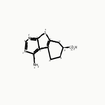 Nc1ncnc2sc3c(c12)CC[C@H](C(=O)O)C3